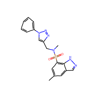 Cc1cc(S(=O)(=O)N(C)Cc2cn(-c3ccccc3)nn2)c2[nH]ncc2c1